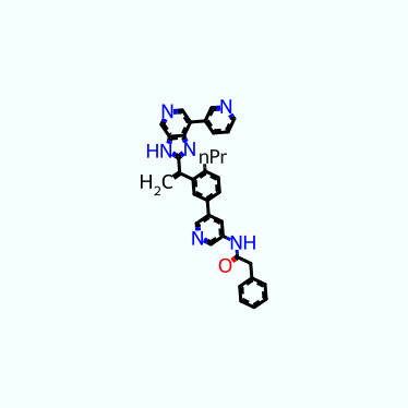 C=C(c1nc2c(-c3cccnc3)cncc2[nH]1)c1cc(-c2cncc(NC(=O)Cc3ccccc3)c2)ccc1CCC